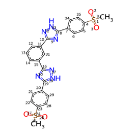 CS(=O)(=O)c1ccc(-c2nc(-c3cccc(-c4n[nH]c(-c5ccc(S(C)(=O)=O)cc5)n4)c3)n[nH]2)cc1